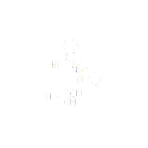 CC(C)(C)OCCN(c1sc2ccccc2c1Br)S(=O)(=O)c1ccccc1